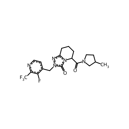 CC1CCN(C(=O)C2CCCc3nn(Cc4ccnc(C(F)(F)F)c4F)c(=O)n32)C1